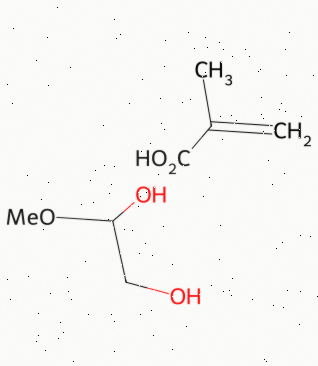 C=C(C)C(=O)O.COC(O)CO